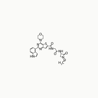 CON1CC(NC(=O)CNC(=O)c2cc3nc(-c4cccc5[nH]ccc45)nc(N4CCOCC4)c3s2)C1=O